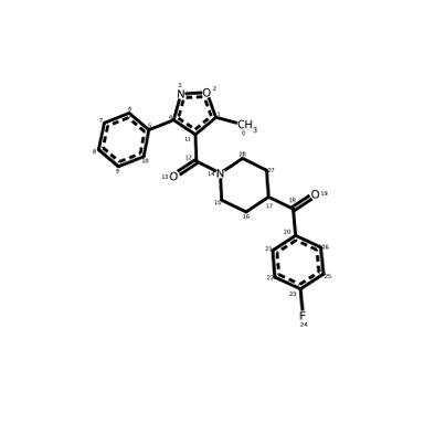 Cc1onc(-c2ccccc2)c1C(=O)N1CCC(C(=O)c2ccc(F)cc2)CC1